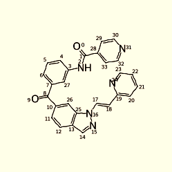 O=C(Nc1cccc(C(=O)c2ccc3cnn(C=Cc4ccccn4)c3c2)c1)c1ccncc1